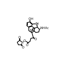 CC(=O)N[C@H]1CCC2C3Cc4ccc(O)c5c4C2(CCN3C(=O)CCC(=O)ON2C(=O)CCC2=O)[C@H]1O5